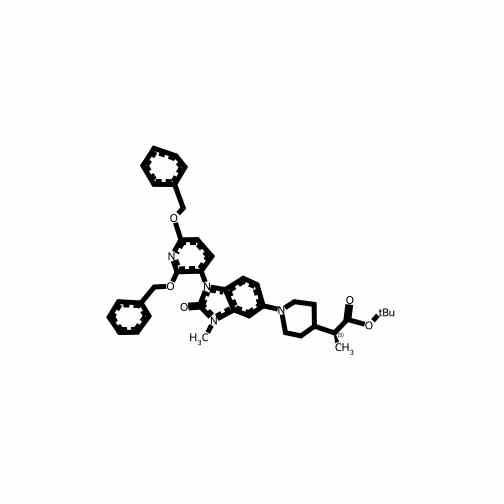 C[C@H](C(=O)OC(C)(C)C)C1CCN(c2ccc3c(c2)n(C)c(=O)n3-c2ccc(OCc3ccccc3)nc2OCc2ccccc2)CC1